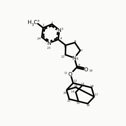 Cc1cnc(C2CCN(C(=O)OC3C4CC5CC(C4)CC3C5)C2)nc1